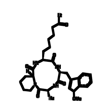 CCC(=O)CCCCC[C@@H]1NC(=O)[C@H]2CCCCN2C(=O)[C@H](C(C)CC)NC(=O)[C@H](CC2=CC(OC)c3ccccc32)NC1=O